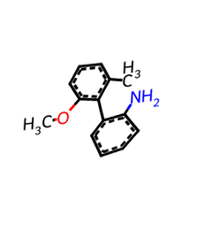 COc1cccc(C)c1-c1ccccc1N